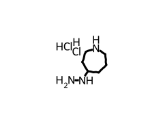 Cl.Cl.NNC1CCCNCC1